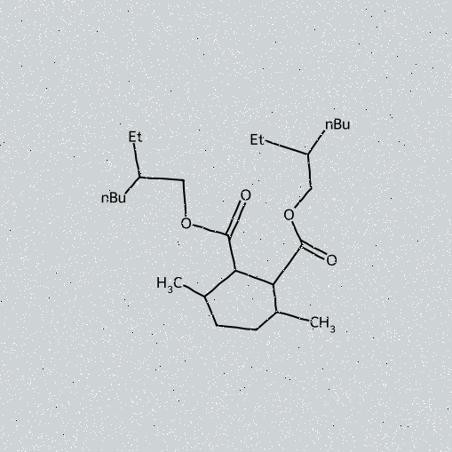 CCCCC(CC)COC(=O)C1C(C)CCC(C)C1C(=O)OCC(CC)CCCC